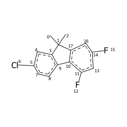 CC1(C)c2cc(Cl)ccc2-c2c(F)cc(F)cc21